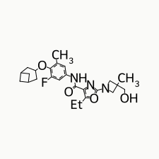 CCc1oc(N2CC(C)(CO)C2)nc1C(=O)Nc1cc(C)c(OC2CC3CC(C3)C2)c(F)c1